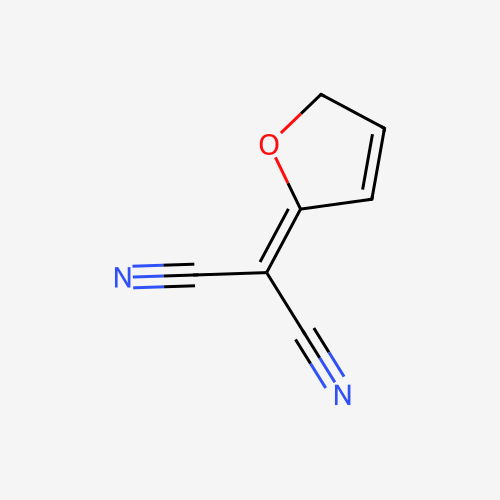 N#CC(C#N)=C1C=CCO1